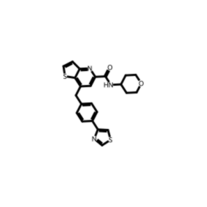 O=C(NC1CCOCC1)c1cc(Cc2ccc(-c3cscn3)cc2)c2sccc2n1